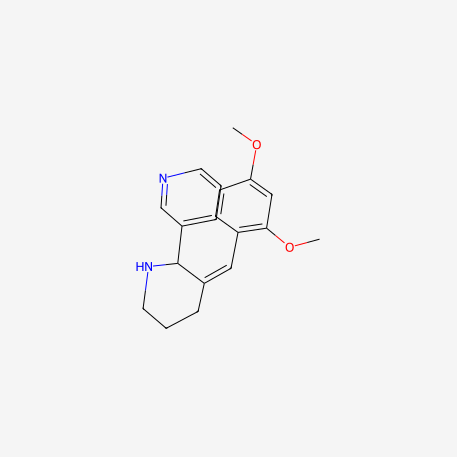 COc1ccc(/C=C2/CCCNC2c2cccnc2)c(OC)c1